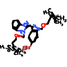 C[Si](C)(C)CCOCn1nc(-c2nc3ccccc3n2COCC[Si](C)(C)C)c2cc(Br)ccc21